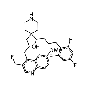 COc1ccc2ncc(CF)c(CCCC3(C(O)CCCc4c(F)cc(F)cc4F)CCNCC3)c2c1